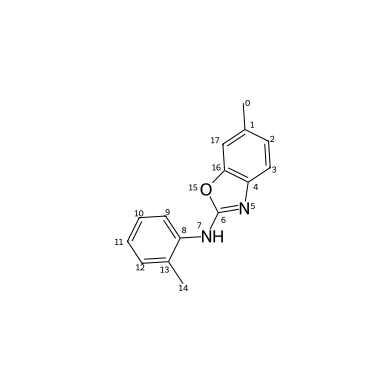 Cc1ccc2nc(Nc3ccccc3C)oc2c1